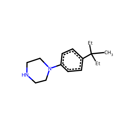 CCC(C)(CC)c1ccc(N2CCNCC2)cc1